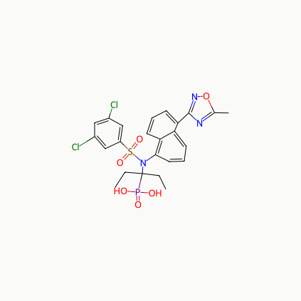 CCC(CC)(N(c1cccc2c(-c3noc(C)n3)cccc12)S(=O)(=O)c1cc(Cl)cc(Cl)c1)P(=O)(O)O